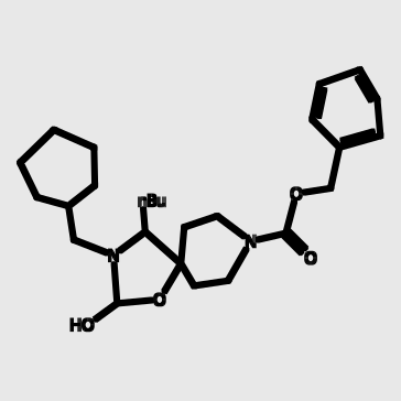 CCCCC1N(CC2CCCCC2)C(O)OC12CCN(C(=O)OCc1ccccc1)CC2